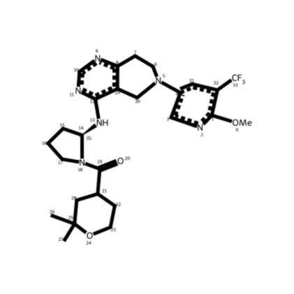 COc1ncc(N2CCc3ncnc(N[C@@H]4CCCN4C(=O)C4CCOC(C)(C)C4)c3C2)cc1C(F)(F)F